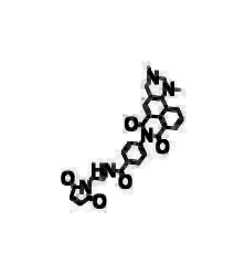 CN1Cc2cc3c4c(cccc4c2N(C)C1)C(=O)N(c1ccc(C(=O)NCCN2C(=O)C=CC2=O)cc1)C3=O